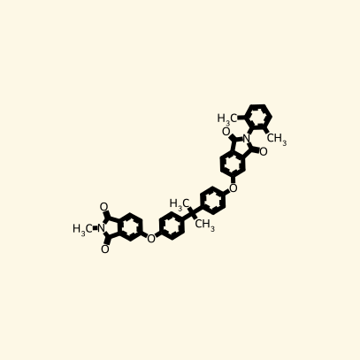 Cc1cccc(C)c1N1C(=O)c2ccc(Oc3ccc(C(C)(C)c4ccc(Oc5ccc6c(c5)C(=O)N(C)C6=O)cc4)cc3)cc2C1=O